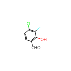 O=Cc1ccc(Cl)c(F)c1O